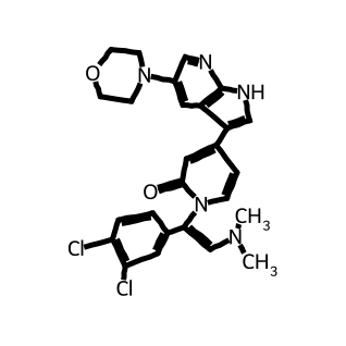 CN(C)/C=C(/c1ccc(Cl)c(Cl)c1)n1ccc(-c2c[nH]c3ncc(N4CCOCC4)cc23)cc1=O